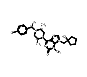 CC(C)[C@H](c1ccc(Cl)cc1)N1C[C@H](C)N(c2nc(=O)n(C)c3c2ncn3CC2(O)CCCC2)C[C@H]1C